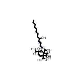 CCCCCCCCC(O)/C=C/C=C/[C@H]1C(C(=O)O)(C(=O)O)C(C(=O)O)(C(=O)O)C=C[C@]1(O)C(=O)O